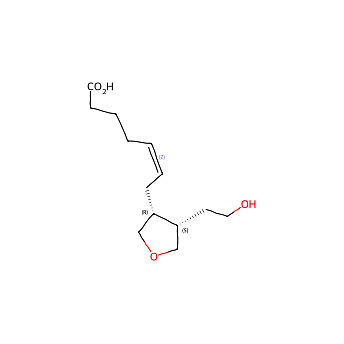 O=C(O)CCC/C=C\C[C@H]1COC[C@H]1CCO